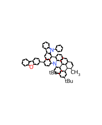 CC1C=Cc2cccc(-c3ccccc3N(c3ccc(-c4ccc5c(c4)oc4ccccc45)cc3)c3ccccc3-c3cccc4c5ccccc5n(-c5ccccc5)c34)c2C1c1cc(C(C)(C)C)cc(C(C)(C)C)c1